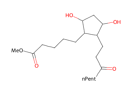 CCCCCC(=O)CCC1C(O)CC(O)C1CCCCC(=O)OC